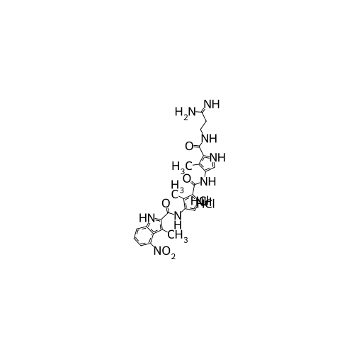 Cc1c(NC(=O)c2[nH]cc(NC(=O)c3[nH]c4cccc([N+](=O)[O-])c4c3C)c2C)c[nH]c1C(=O)NCCC(=N)N.Cl.Cl